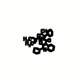 CC[C@H](NC(=O)c1c(OCC(=O)N(CC)CC)c(-c2ccccc2)nc2ccccc12)c1ccccc1